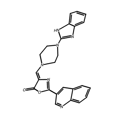 O=C1OC(c2cnc3ccccc3c2)=NC1=CN1CCN(c2nc3ccccc3[nH]2)CC1